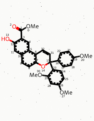 COC(=O)c1cc2c3c(ccc2cc1O)OC(c1ccc(OC)cc1)(c1ccc(OC)cc1OC)C=C3